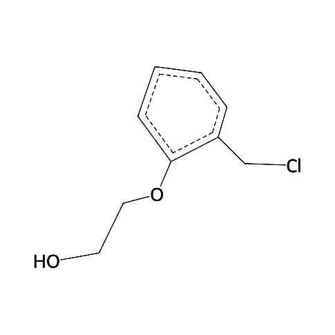 OCCOc1ccccc1CCl